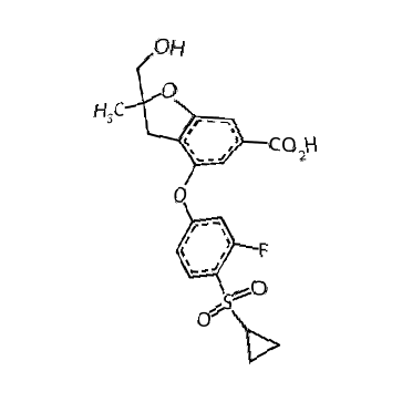 CC1(CO)Cc2c(Oc3ccc(S(=O)(=O)C4CC4)c(F)c3)cc(C(=O)O)cc2O1